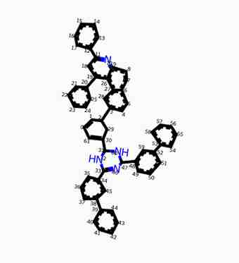 C1=CC(c2ccc3ccc4nc(-c5ccccc5)cc(-c5ccccc5)c4c3c2)CC(C2NC(c3cccc(-c4ccccc4)c3)=NC(c3cccc(-c4ccccc4)c3)N2)=C1